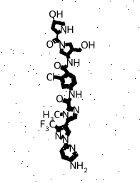 Cn1c(-c2cn(-c3ccc(N)cn3)nc2C(F)(F)F)cnc1C(=O)Nc1ccc(C(=O)NC2CN(C(=O)[C@H]3C[C@H](O)CN3)CC2CO)c(Cl)c1